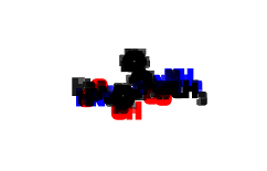 CCS(=O)(=O)NN=Cc1ccc(CN2CC(C3CCCCC3)C[C@H]2C(=O)NC(=O)[C@H](C)N)cc1O